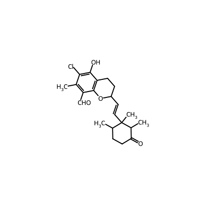 Cc1c(Cl)c(O)c2c(c1C=O)OC(C=CC1(C)C(C)CCC(=O)C1C)CC2